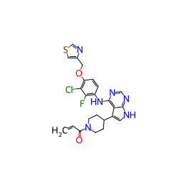 C=CC(=O)N1CCC(c2c[nH]c3ncnc(Nc4ccc(OCc5cscn5)c(Cl)c4F)c23)CC1